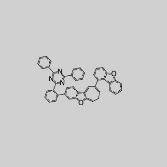 C1=C(c2cccc3oc4ccccc4c23)C=c2c(oc3cc(-c4ccccc4-c4nc(-c5ccccc5)nc(-c5ccccc5)n4)ccc23)=CC1